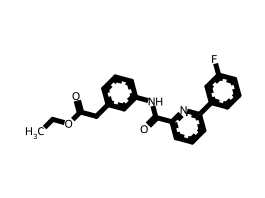 CCOC(=O)Cc1cccc(NC(=O)c2cccc(-c3cccc(F)c3)n2)c1